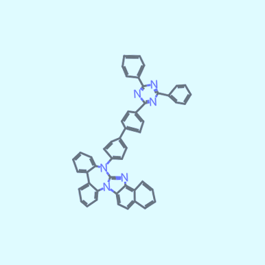 c1ccc(-c2nc(-c3ccccc3)nc(-c3ccc(-c4ccc(N5c6ccccc6-c6ccccc6-n6c5nc5c7ccccc7ccc56)cc4)cc3)n2)cc1